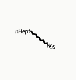 CCCCCCCCCCCCCCCCN=C=S